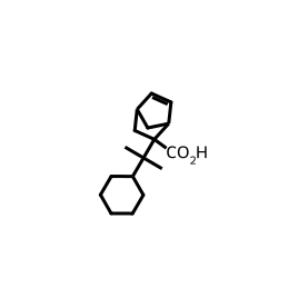 CC(C)(C1CCCCC1)C1(C(=O)O)CC2C=CC1C2